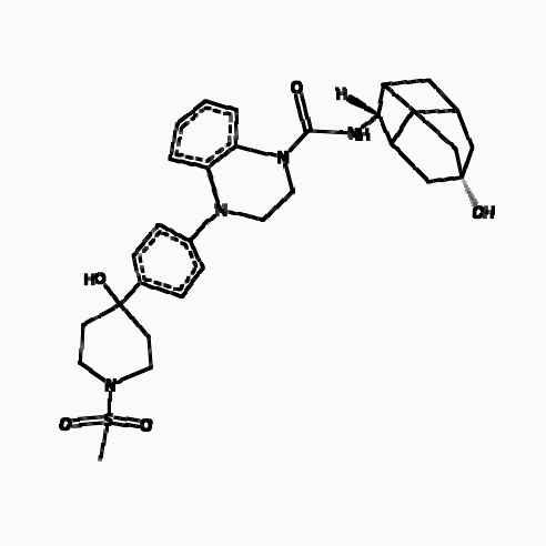 CS(=O)(=O)N1CCC(O)(c2ccc(N3CCN(C(=O)N[C@H]4C5CC6CC4C[C@@](O)(C6)C5)c4ccccc43)cc2)CC1